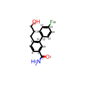 NC(=O)c1ccc(CCCO)c(-c2ccc(F)cc2)c1